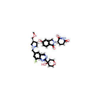 COC[C@@H]1CN(Cc2cc(F)c3nc(C4(O)CCOCC4)ncc3c2)C[C@H]1Oc1ccc2c(c1)CN([C@H]1CCC(=O)NC1=O)C2=O